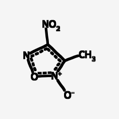 Cc1c([N+](=O)[O-])no[n+]1[O-]